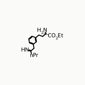 CCCC(=N)Cc1cccc(CC[C@H](N)C(=O)OCC)c1